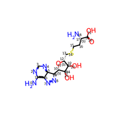 Nc1ncnc2c1N=N[C@H]2[C@@H]1O[C@H](CSCC[C@H](N)C(=O)O)[C@@H](O)[C@H]1O